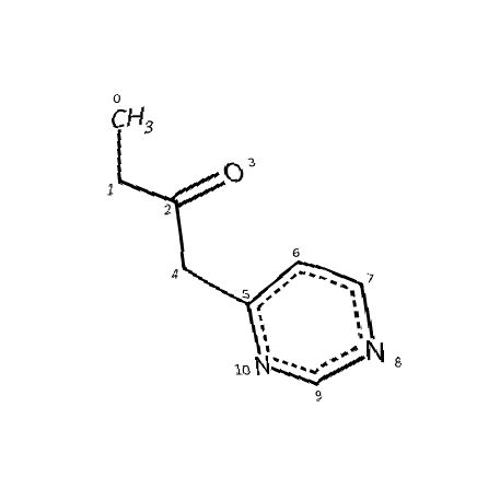 CCC(=O)Cc1ccncn1